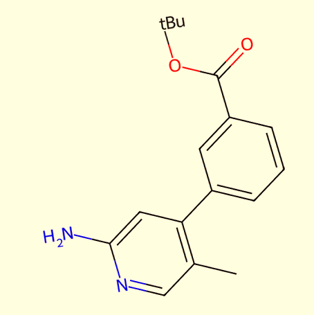 Cc1cnc(N)cc1-c1cccc(C(=O)OC(C)(C)C)c1